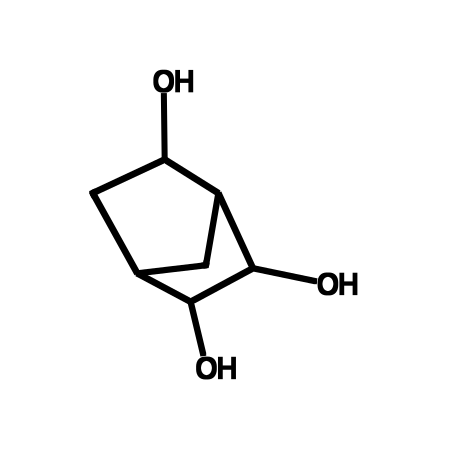 OC1CC2CC1C(O)C2O